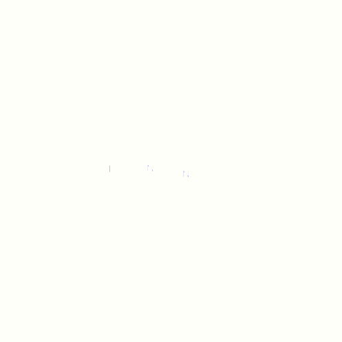 Cc1nc(Cn2ccc3c[c]ccc32)cs1